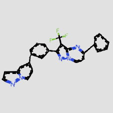 FC(F)(F)c1c(-c2cccc(-c3ccn4nccc4c3)c2)nn2ccc(-c3ccccc3)nc12